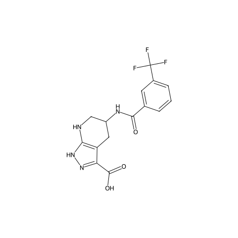 O=C(NC1CNc2[nH]nc(C(=O)O)c2C1)c1cccc(C(F)(F)F)c1